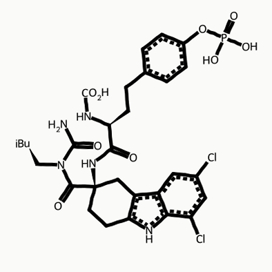 CC[C@H](C)CN(C(N)=O)C(=O)[C@@]1(NC(=O)[C@H](CCc2ccc(OP(=O)(O)O)cc2)NC(=O)O)CCc2[nH]c3c(Cl)cc(Cl)cc3c2C1